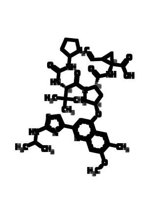 C=CC1C[C@]1(NC(=O)[C@@H]1C[C@@H](Oc2cc(-c3csc(NC(C)C)n3)nc3cc(OC)c(C)cc23)CN1C(=O)[C@@H](NC(=O)NC1CCCC1)C(C)(C)C)C(=O)O